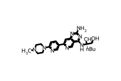 CCCC[C@](C)(CO)Nc1nc(N)nc2cc(-c3ccc(N4CCN(C)CC4)nc3)ncc12